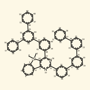 C[Si]1(C)c2ccccc2-c2nc(-c3cccc(-c4cccc(-c5cccc(-c6ccccc6)c5)c4)c3)nc(-c3cccc(-c4cc(-c5ccccc5)cc(-c5ccccc5)c4)c3)c21